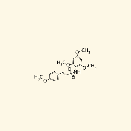 COc1ccc(C=CS(=O)(=O)Nc2c(OC)cc(OC)cc2OC)cc1